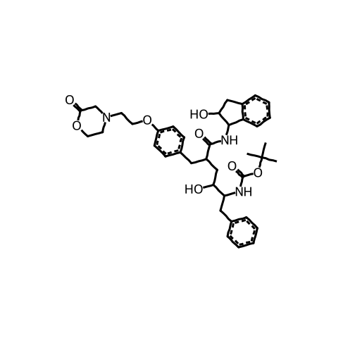 CC(C)(C)OC(=O)NC(Cc1ccccc1)C(O)CC(Cc1ccc(OCCN2CCOC(=O)C2)cc1)C(=O)NC1c2ccccc2CC1O